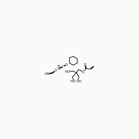 C1CCCCC1.C=CC(=O)OCC(CO)(CO)CO.N=C=O.N=C=O